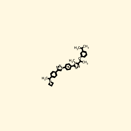 CC(C)c1cccc(OC(C)c2nnc(C34CCC(n5cc(-c6ccc(C(C)N7CCC7)cc6)nn5)(CC3)CC4)n2C)c1